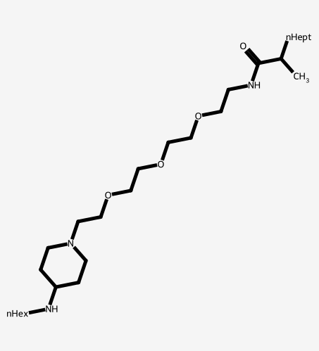 CCCCCCCC(C)C(=O)NCCOCCOCCOCCN1CCC(NCCCCCC)CC1